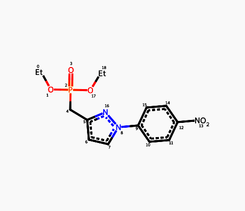 CCOP(=O)(Cc1ccn(-c2ccc([N+](=O)[O-])cc2)n1)OCC